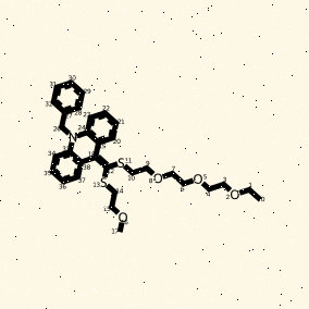 CCOCCOCCOCCSC(SCCOC)=C1c2ccccc2N(Cc2ccccc2)c2ccccc21